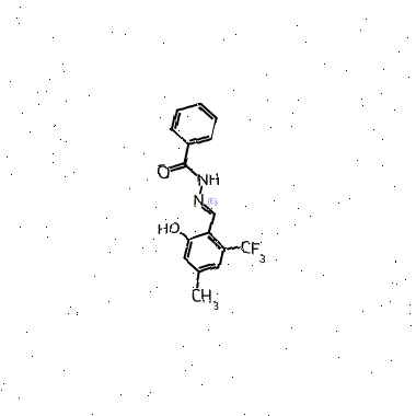 Cc1cc(O)c(/C=N/NC(=O)c2ccccc2)c(C(F)(F)F)c1